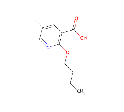 CCCCOc1ncc(I)cc1C(=O)O